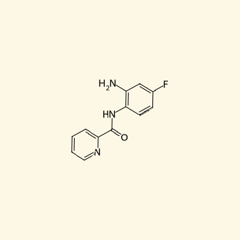 Nc1cc(F)ccc1NC(=O)c1ccccn1